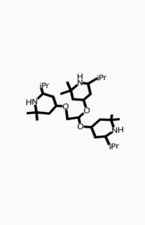 CC(C)C1CC(OCC(OC2CC(C(C)C)NC(C)(C)C2)OC2CC(C(C)C)NC(C)(C)C2)CC(C)(C)N1